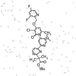 Cc1cnc(-c2ccnc(C(C)(C)C(=O)OC(C)(C)C)n2)cc1-n1c(C)cc(OCc2ncc(F)cc2F)c(Cl)c1=O